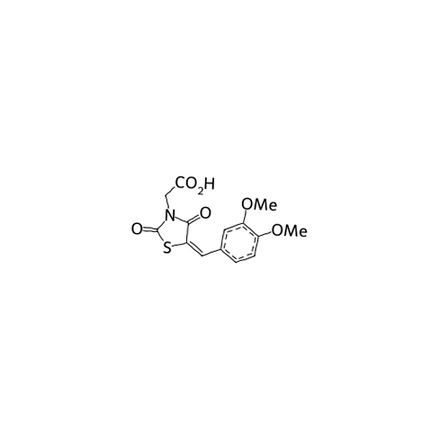 COc1ccc(C=C2SC(=O)N(CC(=O)O)C2=O)cc1OC